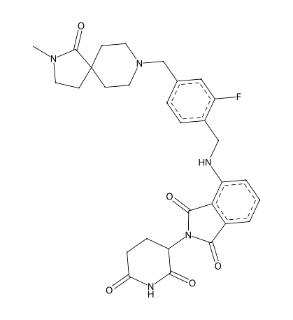 CN1CCC2(CCN(Cc3ccc(CNc4cccc5c4C(=O)N(C4CCC(=O)NC4=O)C5=O)c(F)c3)CC2)C1=O